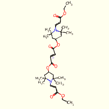 CCOC(=O)C=CN1C(C)(C)CC(OC(=O)/C=C/C(=O)OC2CC(C)(C)N(C=CC(=O)OCC)C(C)(C)C2)CC1(C)C